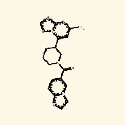 Cc1cc(C2CCCN(C(=O)c3ccc4nccn4c3)C2)n2ncnc2n1